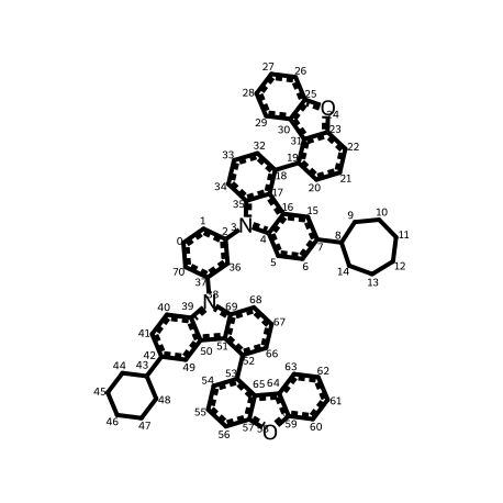 c1cc(-n2c3ccc(C4CCCCCC4)cc3c3c(-c4cccc5oc6ccccc6c45)cccc32)cc(-n2c3ccc(C4CCCCC4)cc3c3c(-c4cccc5oc6ccccc6c45)cccc32)c1